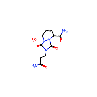 NC(=O)CCn1c(=O)n2n(c1=O)C(C(N)=O)C=CC2.O